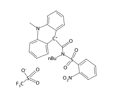 CCCCN(C(=O)[c+]1c2ccccc2n(C)c2ccccc21)S(=O)(=O)c1ccccc1[N+](=O)[O-].O=S(=O)([O-])C(F)(F)F